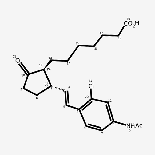 CC(=O)Nc1ccc(C=C[C@@H]2CCC(=O)[C@H]2CCCCCCC(=O)O)c(Cl)c1